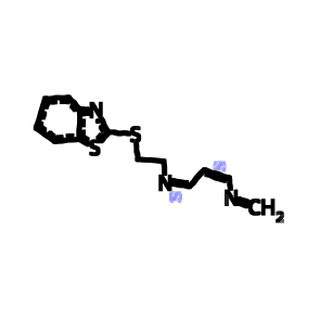 C=N/C=C\C=N/CCSc1nc2ccccc2s1